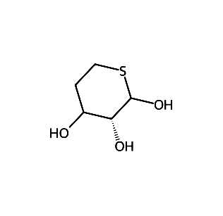 OC1CCSC(O)[C@@H]1O